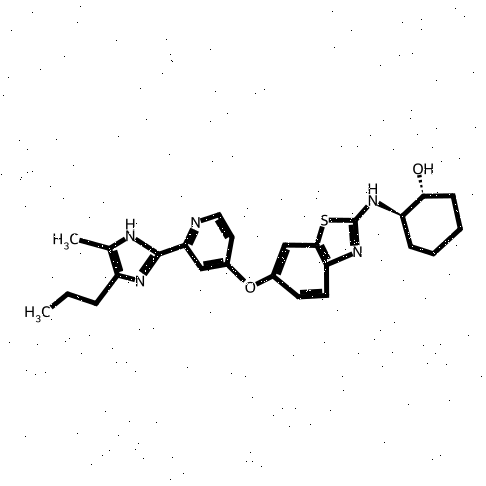 CCCc1nc(-c2cc(Oc3ccc4nc(N[C@@H]5CCCC[C@H]5O)sc4c3)ccn2)[nH]c1C